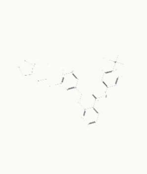 CN1CCCC1CCOc1cc(CNc2ncccc2C(=O)Nc2ccc(C(F)(F)C(F)(F)F)cc2)ccn1